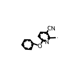 [CH2]c1nc(Oc2ccccc2)ccc1C#N